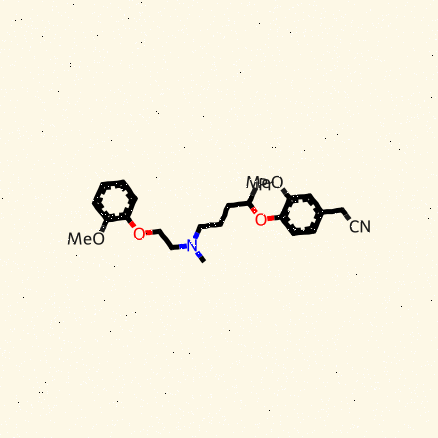 COc1ccccc1OCCN(C)CCCC(Oc1ccc(CC#N)cc1OC)C(C)C